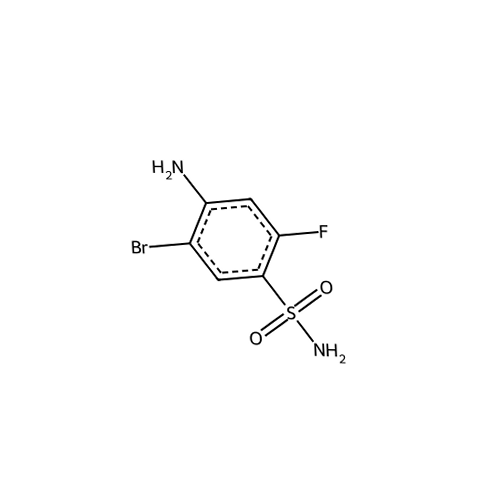 Nc1cc(F)c(S(N)(=O)=O)cc1Br